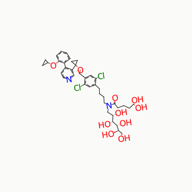 O=C(CCCC(O)O)N(CCCCc1cc(Cl)c(COC2(c3cnccc3-c3ccccc3OC3CC3)CC2)cc1Cl)C[C@H](O)[C@@H](O)[C@H](O)[C@H](O)CO